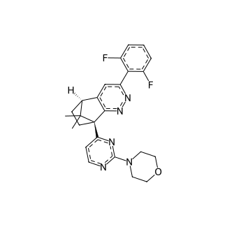 CC1(C)[C@H]2CC[C@@]1(c1ccnc(N3CCOCC3)n1)c1nnc(-c3c(F)cccc3F)cc12